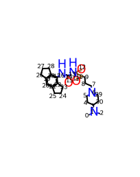 CN(C)C1CCN(CCCS(=O)(=O)NC(=O)Nc2c3c(cc4c2CCC4)CCC3)CC1